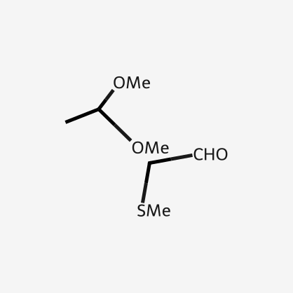 COC(C)OC.CSCC=O